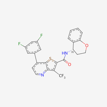 O=C(N[C@H]1CCOc2ccccc21)c1sc2c(-c3cc(F)cc(F)c3)ccnc2c1C(F)(F)F